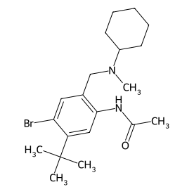 CC(=O)Nc1cc(C(C)(C)C)c(Br)cc1CN(C)C1CCCCC1